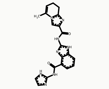 CC1=CCCc2nc(C(=O)Nc3nc4c(C(=O)Nc5ncc[nH]5)cccc4[nH]3)cn21